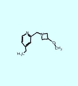 CCc1ccnc(CN2CC(OC)C2)c1